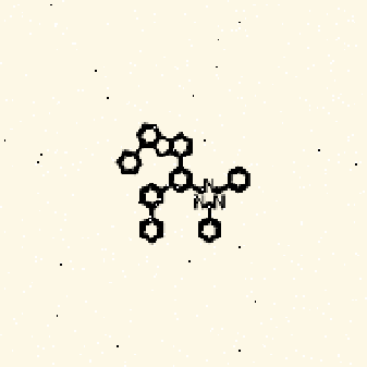 c1ccc(-c2cccc(-c3cc(-c4nc(-c5ccccc5)nc(-c5ccccc5)n4)cc(-c4cccc5c4Cc4c(-c6ccccc6)cccc4-5)c3)c2)cc1